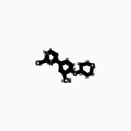 N#Cc1cc(-c2ccnc(Cl)n2)ccc1OC1CCOCC1